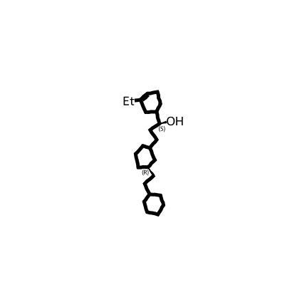 CCC1=CCCC([C@@H](O)CCC2CCC[C@H](CCC3CCCCC3)C2)C1